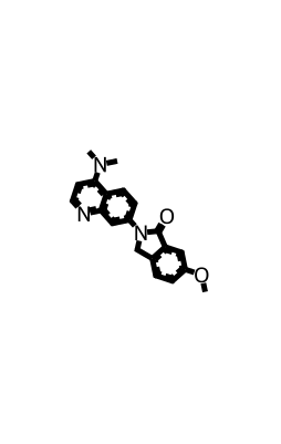 COc1ccc2c(c1)C(=O)N(c1ccc3c(N(C)C)ccnc3c1)C2